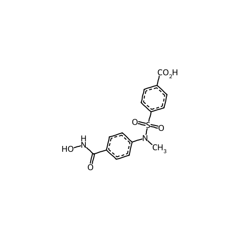 CN(c1ccc(C(=O)NO)cc1)S(=O)(=O)c1ccc(C(=O)O)cc1